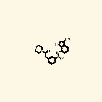 N#Cc1c[nH]c2c(N[S+]([O-])C3C=C(CC(=O)N4CCNCC4)C=CC3)cccc12